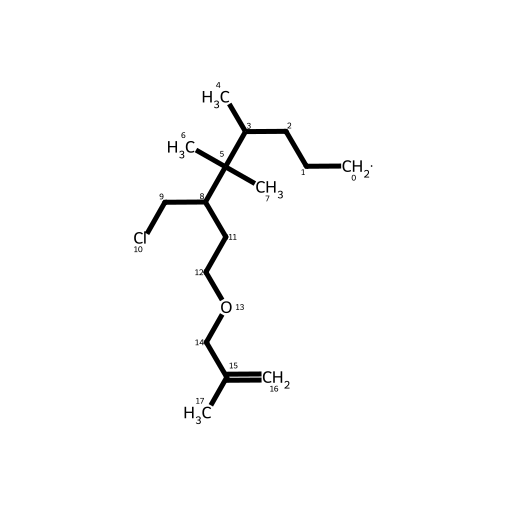 [CH2]CCC(C)C(C)(C)[C](CCl)CCOCC(=C)C